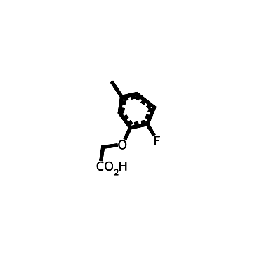 Cc1ccc(F)c(OCC(=O)O)c1